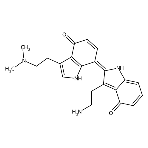 CN(C)CCc1c[nH]c2c1C(=O)C=CC2=c1[nH]c2c(c1CCN)C(=O)C=CC=2